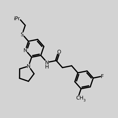 Cc1cc(F)cc(CCC(=O)Nc2ccc(SCC(C)C)nc2N2CCCC2)c1